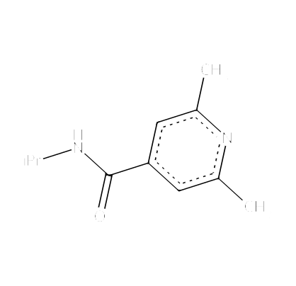 Cc1cc(C(=O)NC(C)C)cc(C)n1